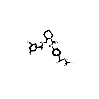 N=C(NC(=O)C(F)(F)F)c1ccc(NC(=O)N2CCCCC2CNC(=O)c2cc(Cl)cc(Cl)c2)cc1